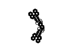 OCCOc1ccc2ccccc2c1-c1c(OCCOc2ccc3cc(OCCOc4ccc5ccccc5c4-c4c(OCCO)ccc5ccccc45)ccc3c2)ccc2ccccc12